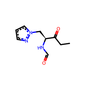 CCC(=O)[C@H](Cn1cccn1)NC=O